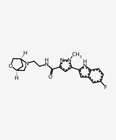 Cn1nc(C(=O)NCCN2C[C@@H]3C[C@H]2CO3)cc1-c1cc2cc(F)ccc2[nH]1